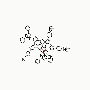 [C-]#[N+]c1ccc(-c2ccc3c(c2)c2cc(-c4ccc([N+]#[C-])cc4)ccc2n3-c2cc(-c3nc(-c4ccccc4)nc(-c4ccccc4)n3)ccc2-c2cccc(-c3ccc(-c4nc(-c5ccccc5)nc(-c5ccccc5)n4)cc3-n3c4ccc(-c5ccc(C#N)cc5)cc4c4cc(-c5ccc(C#N)cc5)ccc43)c2)cc1